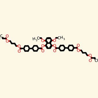 C=CC(=O)OCCCCOC(=O)C1CCC(C2CCC(C(=O)Oc3ccc(OC(=O)C4CCC(C5CCC(C(=O)OCCCCOC(=O)C=C)CC5)CC4)c4c(OCC)ccc(OCC)c34)CC2)CC1